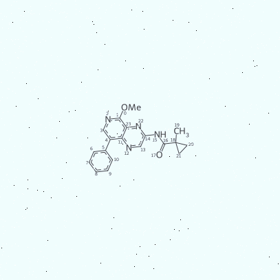 COc1ncc(-c2ccccc2)c2ncc(NC(=O)C3(C)CC3)nc12